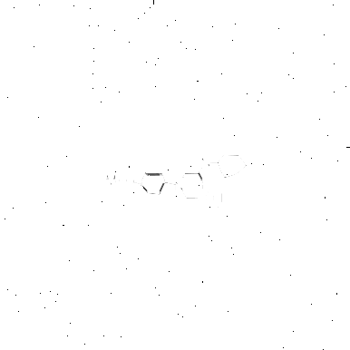 COc1ccc(N(CC(=O)O)CC(=O)NC2CCCCC2)cc1